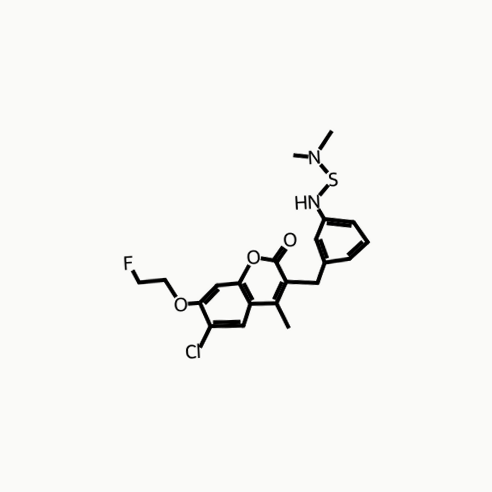 Cc1c(Cc2cccc(NSN(C)C)c2)c(=O)oc2cc(OCCF)c(Cl)cc12